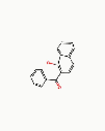 [O]c1c(C(=O)c2ccccc2)ccc2ccccc12